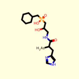 O=C(NCC(O)CP(=O)(O)CC1CCCCC1)C([AsH2])Cc1c[nH]cn1